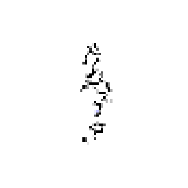 Cc1ccc(/C=C/C(=O)Nc2ccc3nc(N4CCN(C)CC4)cc(C)c3c2)o1